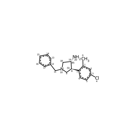 Cc1cc(Cl)ccc1[C@H]1CN(Cc2ccccc2)C[C@@H]1N